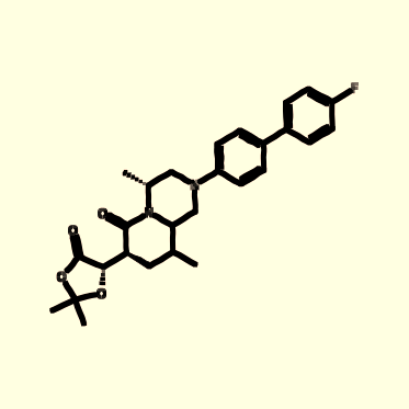 CC1C[C@@H]([C@@H]2OC(C)(C)OC2=O)C(=O)N2C1CN(c1ccc(-c3ccc(F)cc3)cc1)C[C@H]2C